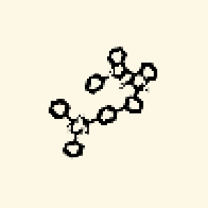 c1ccc(-c2nc(-c3ccccc3)nc(-c3ccc(-c4cccc(-c5nc6ccccc6c6c5sc5c6c6ccccc6n5-c5ccccc5)c4)cc3)n2)cc1